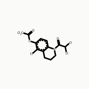 O=C(C(Cl)Cl)N1CCCc2c1ccc(OC(=O)C(Cl)(Cl)Cl)c2Cl